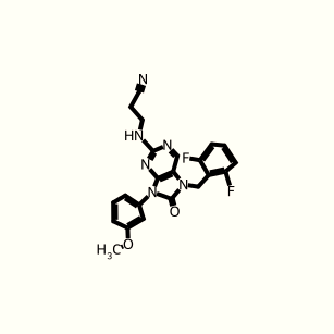 COc1cccc(-n2c(=O)n(Cc3c(F)cccc3F)c3cnc(NCCC#N)nc32)c1